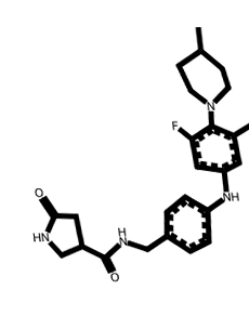 CC1CCN(c2c(F)cc(Nc3ccc(CNC(=O)C4CNC(=O)C4)cc3)cc2F)CC1